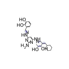 C\C(O)=C(O)/C(=C\C1CCCCC1)/C=N/Nc1cc(N/N=C/c2cccc(O)c2O)nc(N)n1